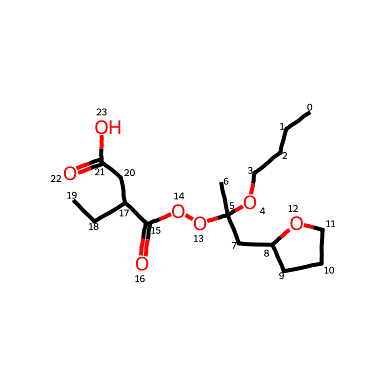 CCCCOC(C)(CC1CCCO1)OOC(=O)C(CC)CC(=O)O